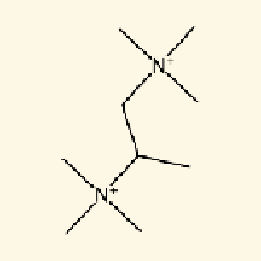 CC(C[N+](C)(C)C)[N+](C)(C)C